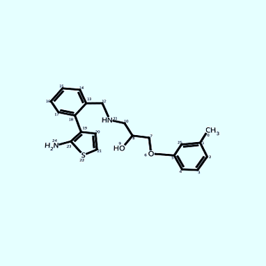 Cc1cccc(OCC(O)CNCc2ccccc2-c2ccsc2N)c1